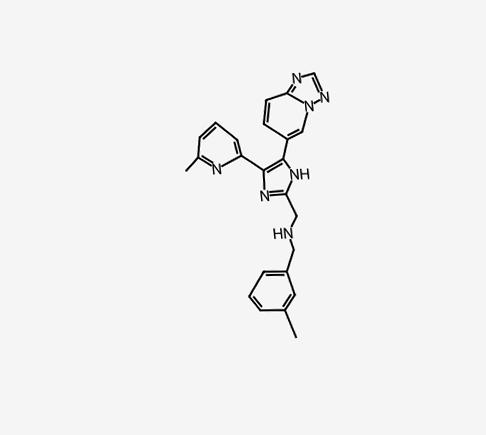 Cc1cccc(CNCc2nc(-c3cccc(C)n3)c(-c3ccc4ncnn4c3)[nH]2)c1